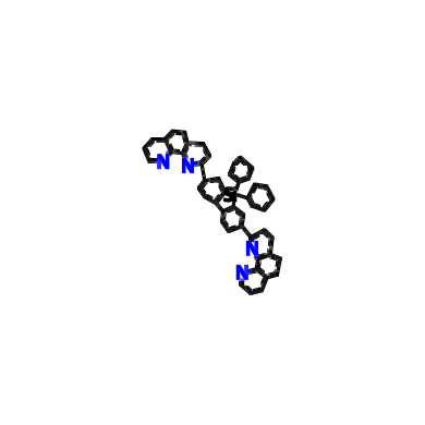 c1ccc([Si]2(c3ccccc3)c3cc(-c4ccc5ccc6cccnc6c5n4)ccc3-c3ccc(-c4ccc5ccc6cccnc6c5n4)cc32)cc1